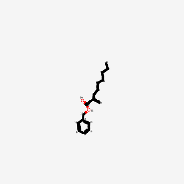 C=C(CCCCCCC)C(=O)OCc1ccccc1